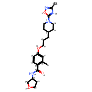 CCc1noc(N2CCC(CCCOc3ccc(C(=O)NC4CCOC4)c(C)c3)CC2)n1